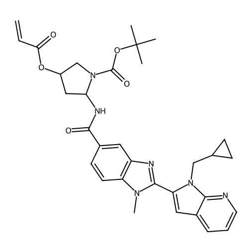 C=CC(=O)OC1CC(NC(=O)c2ccc3c(c2)nc(-c2cc4cccnc4n2CC2CC2)n3C)N(C(=O)OC(C)(C)C)C1